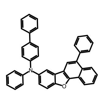 c1ccc(-c2ccc(N(c3ccccc3)c3ccc4oc5c6ccccc6c(-c6ccccc6)cc5c4c3)cc2)cc1